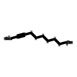 [CH2]CCCCCCCCC#CCCCCCCCCCCCCCCC[CH2]